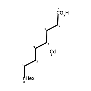 CCCCCCCCCCCCC(=O)O.[Cd]